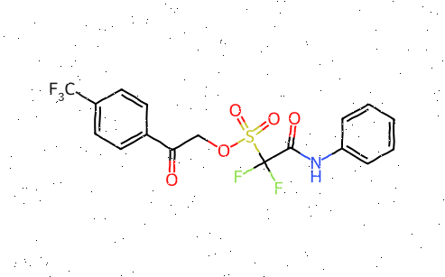 O=C(COS(=O)(=O)C(F)(F)C(=O)Nc1ccccc1)c1ccc(C(F)(F)F)cc1